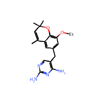 CCOc1cc(Cc2cnc(N)nc2N)cc2c1OC(C)(C)C=C2C